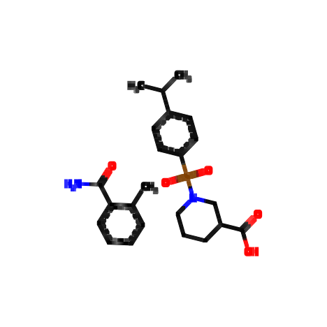 CC(C)c1ccc(S(=O)(=O)N2CCCC(C(=O)O)C2)cc1.Cc1ccccc1C(N)=O